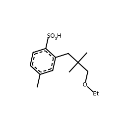 CCOCC(C)(C)Cc1cc(C)ccc1S(=O)(=O)O